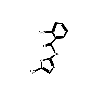 CC(=O)Oc1ccccc1C(=O)Nc1ncc(C(F)(F)F)o1